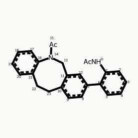 CC(=O)Nc1ccccc1-c1ccc2c(c1)CN(C(C)=O)c1ccccc1CC2